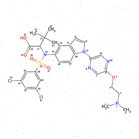 CN(C)CCOc1cnc(-n2ccc3cc(N(C(C(=O)O)C(C)(C)C)S(=O)(=O)c4cc(Cl)cc(Cl)c4)ccc32)cn1